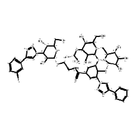 CCC[C@H](OC1C(NC(C)=O)[C@H](O[C@@H]2CC(C(=O)NCCO[C@H]3OC(CO)[C@@H](O)C(n4cc(-c5cccc(F)c5)nn4)C3O)CC(n3cc(-c4ccccc4)nn3)C2O[C@@H]2OC(C)[C@@H](O)C(O)C2O)OC(CO)[C@@H]1O)C(=O)O